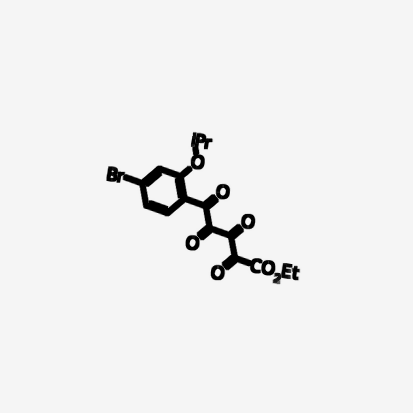 CCOC(=O)C(=O)C(=O)C(=O)C(=O)c1ccc(Br)cc1OC(C)C